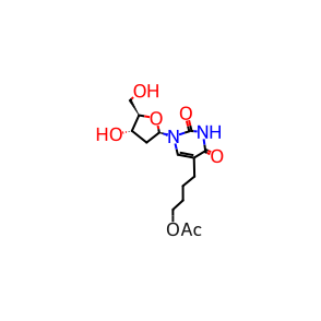 CC(=O)OCCCCc1cn([C@H]2C[C@H](O)[C@@H](CO)O2)c(=O)[nH]c1=O